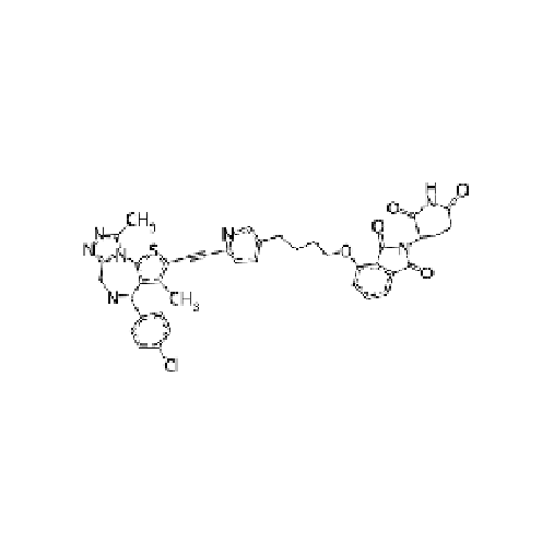 Cc1c(C#Cc2ccc(CCCCOc3cccc4c3C(=O)N(C3CCC(=O)NC3=O)C4=O)cn2)sc2c1C(c1ccc(Cl)cc1)=NCc1nnc(C)n1-2